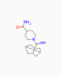 N=C(N1CCC(C(N)=O)CC1)C12CC3CC1CC3C2